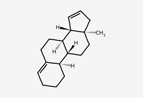 C[C@@]12CC=C[C@H]1[C@@H]1CCC3=CCCC[C@@H]3[C@H]1CC2